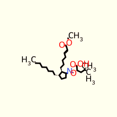 CCCCCCCC[C@H]1CCC(=NOC(CC(C)C)C(=O)O)[C@@H]1CCCCC=CC(=O)OCC